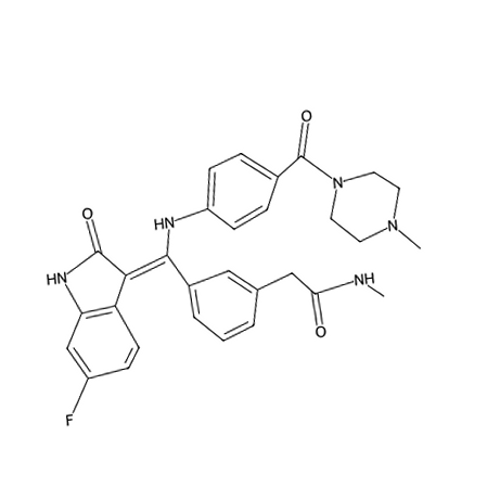 CNC(=O)Cc1cccc(/C(Nc2ccc(C(=O)N3CCN(C)CC3)cc2)=C2/C(=O)Nc3cc(F)ccc32)c1